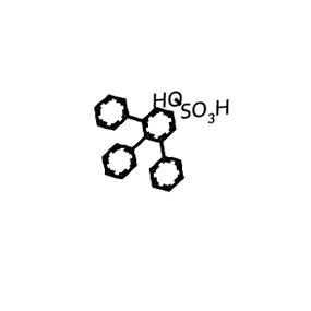 O=S(=O)(O)O.c1ccc(-c2cccc(-c3ccccc3)c2-c2ccccc2)cc1